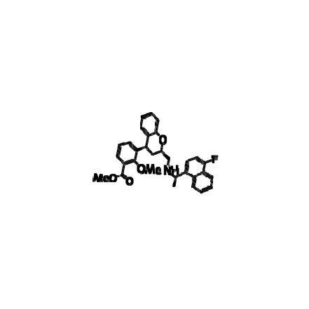 COC(=O)c1cccc([C@@H]2C[C@H](CN[C@H](C)c3ccc(F)c4ccccc34)Oc3ccccc32)c1OC